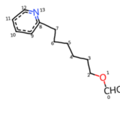 O=COCCCCCCc1ccccn1